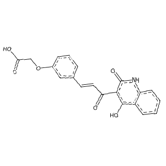 O=C(O)COc1cccc(/C=C/C(=O)c2c(O)c3ccccc3[nH]c2=O)c1